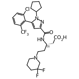 O=C(O)C[C@H](CCN1CCCC(F)(F)C1)NC(=O)c1cc(-c2c(Cl)cccc2C(F)(F)F)n(C2CCCC2)n1